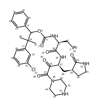 CC(C)C[C@H](NC(=O)OC(c1ccccc1)C(C)(C)c1cccc(Cl)c1)C(=O)N[C@@H](C[C@@H]1CCNC1=O)C(=O)C(=O)N1CCNCC1